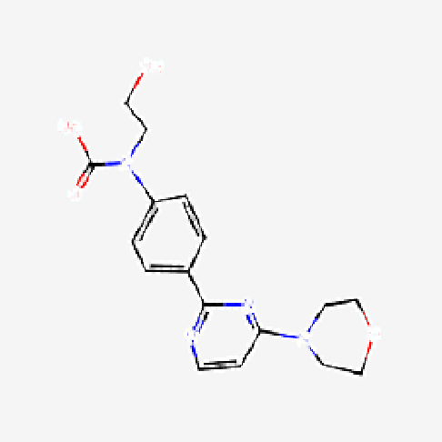 O=C(O)N(CCO)c1ccc(-c2nccc(N3CCOCC3)n2)cc1